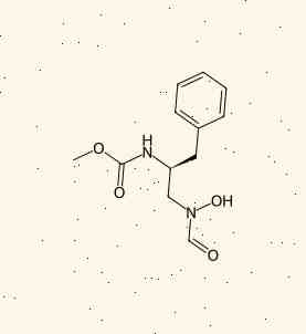 COC(=O)N[C@@H](Cc1ccccc1)CN(O)C=O